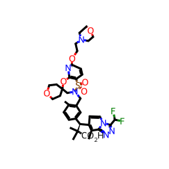 Cc1ccc([C@@H](c2ccn3c(C(F)F)nnc3c2C)C(C)(C)C(=O)O)cc1CN1CC2(CCOCC2)Oc2nc(OCCN3CCOCC3)ccc2S1(=O)=O